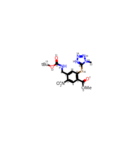 COC(=O)c1cc([N+](=O)[O-])c(CNC(=O)OC(C)(C)C)cc1Sc1nnnn1C